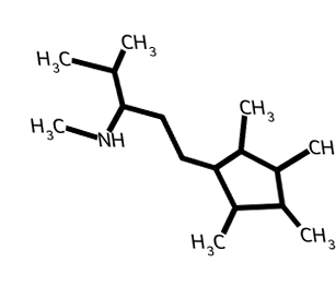 CNC(CCC1C(C)C(C)C(C)C1C)C(C)C